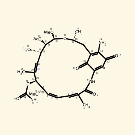 CO[C@H]1/C=C\C=C(/C)C(=O)NC2=CC(=O)C(N)=C(C[C@@H](C)C[C@H](OC)[C@H](OC(C)=O)[C@@H](C)/C=C(\C)[C@@H]1OC(N)=O)C2=O